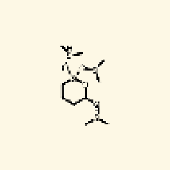 C[SiH](C)OC1CCC[Si](O[SiH](C)C)(O[SiH](C)C)O1